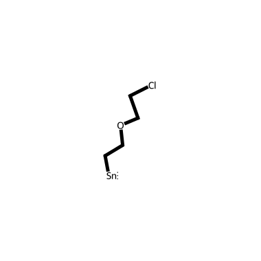 ClCCOC[CH2][Sn]